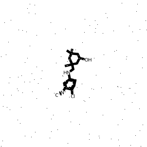 [C-]#[N+]c1cc(NCC2(C)CC(O)CC(C)(C)C2)ccc1Cl